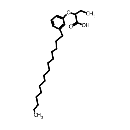 CCCCCCCCCCCCCCCc1cccc(OC(CC)C(=O)O)c1